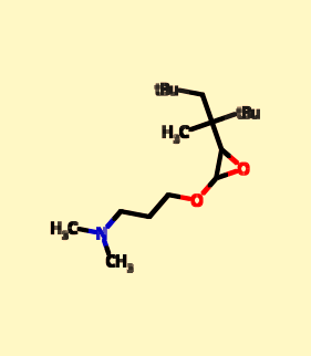 CN(C)CCCOC1OC1C(C)(CC(C)(C)C)C(C)(C)C